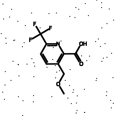 COCc1ccc(C(F)(F)F)nc1C(=O)O